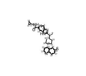 C[C@H](c1nc2cnc(C(=O)NC3CC3)cc2[nH]1)[C@H]1CC[C@@H](c2ccnc3ccc(F)cc32)CC1